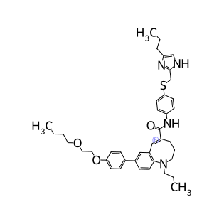 CCCCOCCOc1ccc(-c2ccc3c(c2)/C=C(/C(=O)Nc2ccc(SCc4nc(CCC)c[nH]4)cc2)CCCN3CCC)cc1